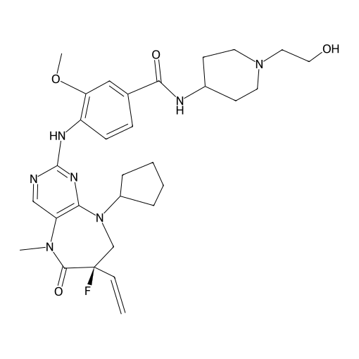 C=C[C@@]1(F)CN(C2CCCC2)c2nc(Nc3ccc(C(=O)NC4CCN(CCO)CC4)cc3OC)ncc2N(C)C1=O